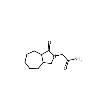 NC(=O)CN1CC2CCCCCC2C1=O